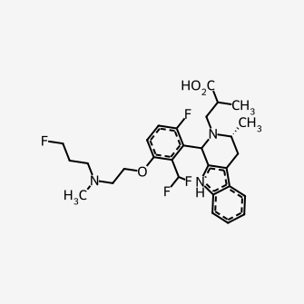 CC(CN1C(c2c(F)ccc(OCCN(C)CCCF)c2C(F)F)c2[nH]c3ccccc3c2C[C@H]1C)C(=O)O